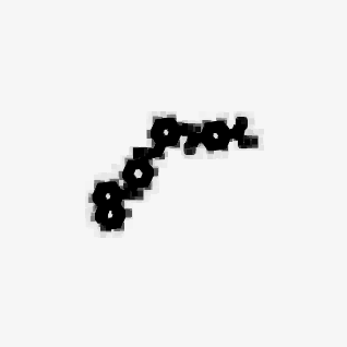 O=C(O)c1ccc(C(=O)Nc2cccc(CNC3CCC(Nc4cccc5cnccc45)CC3)c2)cc1